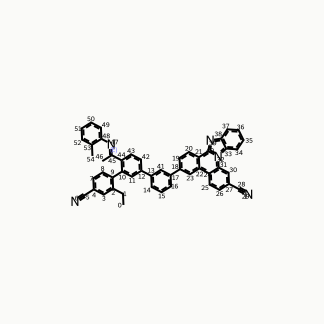 CCc1cc(C#N)ccc1-c1cc(-c2cccc(-c3ccc4c(c3)c3ccc(C#N)cc3n3c5ccccc5nc43)c2)ccc1/C(C)=N/c1ccccc1C